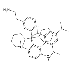 COc1ccc(OC)c([PH](c2cc[c]c(CCN)c2)(C2CCCCC2)C2CCCCC2)c1-c1c(C(C)C)cc(C(C)C)cc1C(C)C